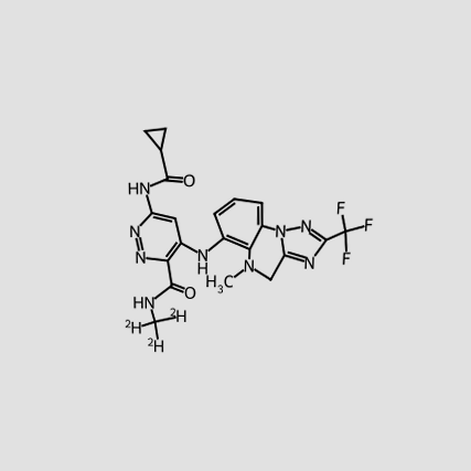 [2H]C([2H])([2H])NC(=O)c1nnc(NC(=O)C2CC2)cc1Nc1cccc2c1N(C)Cc1nc(C(F)(F)F)nn1-2